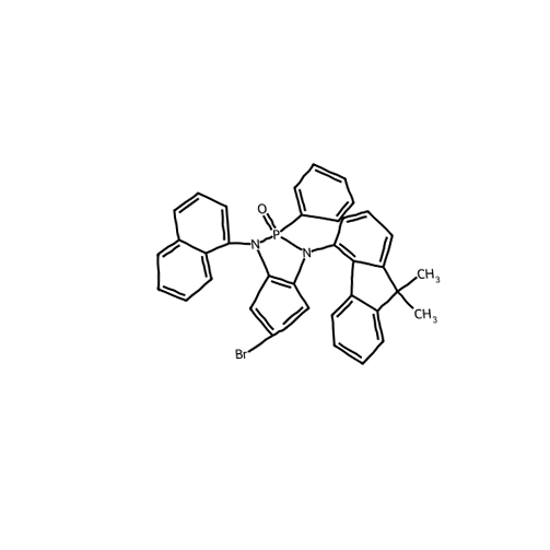 CC1(C)c2ccccc2-c2c(N3c4ccc(Br)cc4N(c4cccc5ccccc45)P3(=O)c3ccccc3)cccc21